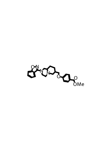 COC(=O)c1ccc(OCC2CCC3CN(c4noc5ccccc45)CCN3C2)cc1